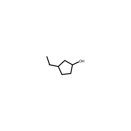 C[CH]C1CCC(O)C1